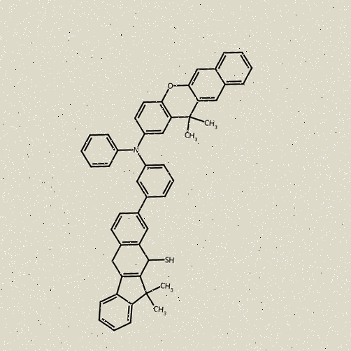 CC1(C)C2=C(Cc3ccc(-c4cccc(N(c5ccccc5)c5ccc6c(c5)C(C)(C)c5cc7ccccc7cc5O6)c4)cc3C2S)c2ccccc21